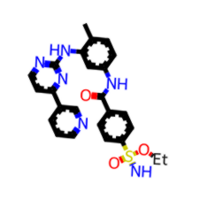 CCOS(=N)(=O)c1ccc(C(=O)Nc2ccc(C)c(Nc3nccc(-c4cccnc4)n3)c2)cc1